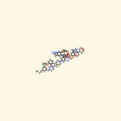 Cc1cc(Cl)cc(CN2CCN(C3CC4(CCN(c5ccc(C(=O)NS(=O)(=O)c6cc7c(c([N+](=O)[O-])c6)N[C@H](C6CCOCC6)CO7)c(N6c7cc8cc[nH]c8nc7O[C@H]7COCC[C@@H]76)c5)CC4)C3)[C@H](c3ccccc3OC(C)C)C2)c1